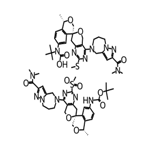 CSc1nc2c(c(N3CCCn4nc(C(=O)N(C)C)cc4C3)n1)CO[C@@]1(CO[C@@H](C)c3ccc(N(C(=O)O)C(C)(C)C)cc31)C2.C[C@@H]1OC[C@]2(Cc3nc(S(C)(=O)=O)nc(N4CCCn5nc(C(=O)N(C)C)cc5C4)c3CO2)c2cc(NC(=O)OC(C)(C)C)ccc21